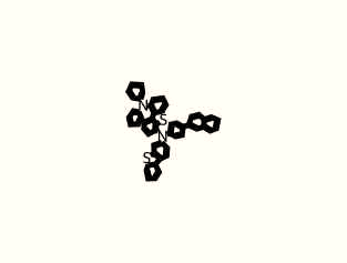 C1=CC2Sc3cc(N(c4ccc(-c5ccc6ccccc6c5)cc4)c4cccc5c4sc4cccc(N(c6ccccc6)c6ccccc6)c45)ccc3C2C=C1